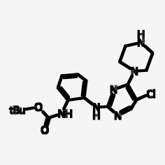 CC(C)(C)OC(=O)Nc1ccccc1Nc1ncc(Cl)c(N2CCNCC2)n1